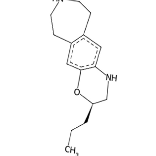 CCC[C@@H]1CNc2cc3c(cc2O1)CCNCC3